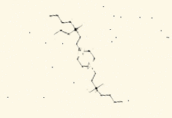 CCCCC(C)(C)CCN1CCN(CCC(C)(CCC)CCCC)CC1